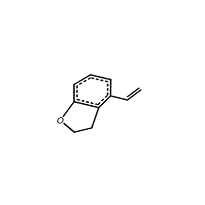 C=Cc1cccc2c1CCO2